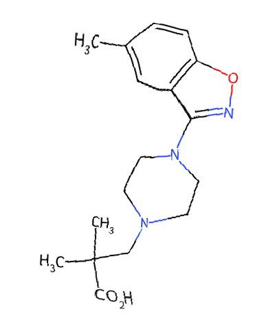 Cc1ccc2onc(N3CCN(CC(C)(C)C(=O)O)CC3)c2c1